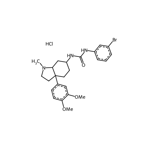 COc1ccc(C23CCC(NC(=O)Nc4cccc(Br)c4)CC2N(C)CC3)cc1OC.Cl